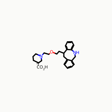 O=C(O)[C@@H]1CCCN(CCOCCC2Cc3ccccc3CNc3ccccc32)C1